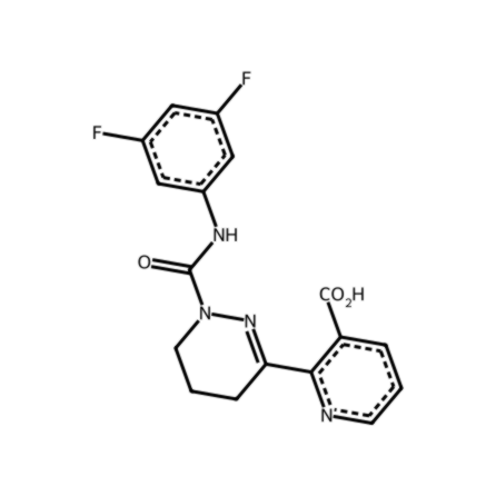 O=C(O)c1cccnc1C1=NN(C(=O)Nc2cc(F)cc(F)c2)CCC1